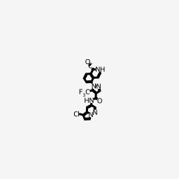 O=C=C1NC=Cc2c1cccc2-n1ncc(C(=O)Nc2cnn3ccc(Cl)c3c2)c1C(F)(F)F